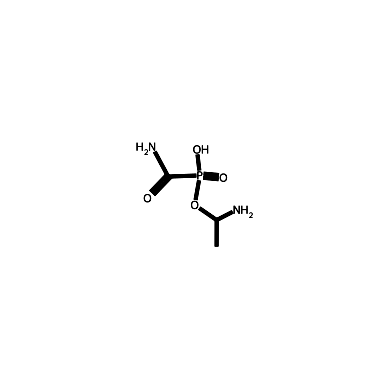 CC(N)OP(=O)(O)C(N)=O